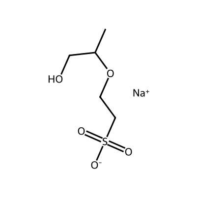 CC(CO)OCCS(=O)(=O)[O-].[Na+]